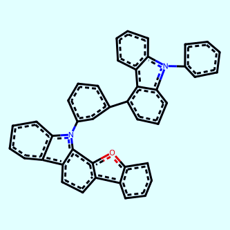 c1ccc(-n2c3ccccc3c3c(-c4cccc(-n5c6ccccc6c6ccc7c8ccccc8oc7c65)c4)cccc32)cc1